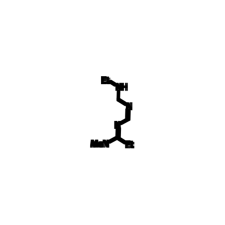 CCNC/N=C\N=C(/CC)NC